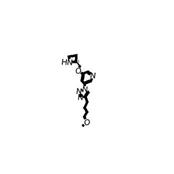 COCCCCc1cn(-c2cncc(OC[C@@H]3CCN3)c2)nn1